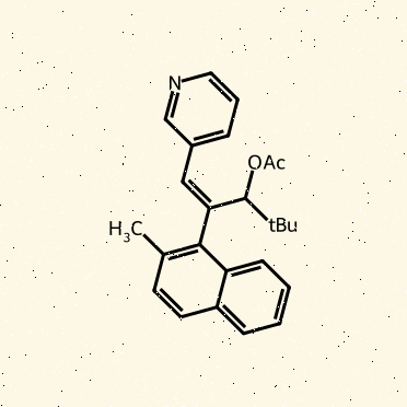 CC(=O)OC(C(=Cc1cccnc1)c1c(C)ccc2ccccc12)C(C)(C)C